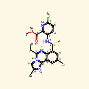 CCc1nc2c([C@@H](C)Nc3ccc(Cl)nc3C(=O)OC)cc(C)cc2c2nc(C)cn12